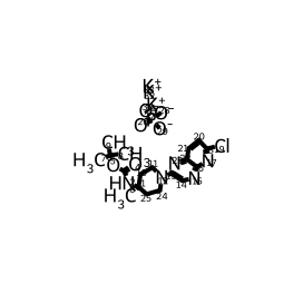 CC1(NC(=O)OC(C)(C)C)CCN(c2cnc3nc(Cl)ccc3n2)CC1.O=P([O-])([O-])[O-].[K+].[K+].[K+]